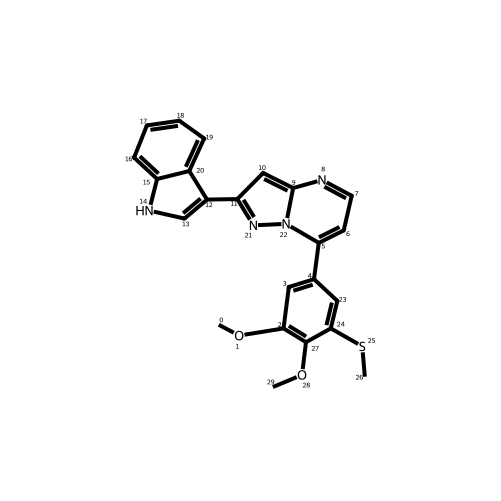 COc1cc(-c2ccnc3cc(-c4c[nH]c5ccccc45)nn23)cc(SC)c1OC